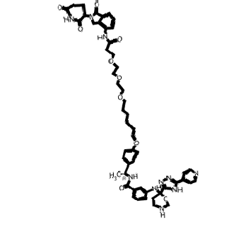 C[C@@H](NC(=O)c1cccc(NC2(c3nnc(-c4ccncc4)[nH]3)CCNCC2)c1)c1ccc(OCCCCCCOCCOCCOCCC(=O)Nc2cccc3c2CN(C2CCC(=O)NC2=O)C3=O)cc1